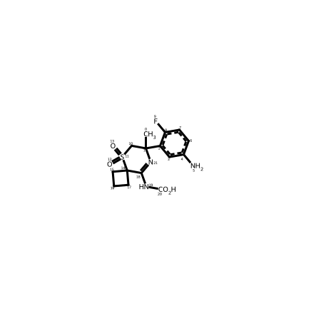 CC1(c2cc(N)ccc2F)CS(=O)(=O)C2(CCC2)C(NC(=O)O)=N1